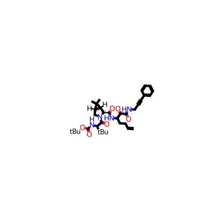 C=CCCC(NC(=O)[C@@H]1[C@@H]2[C@H](CN1C(=O)C(NC(=O)OC(C)(C)C)C(C)(C)C)C2(C)C)C(=O)C(=O)NCC#Cc1ccccc1